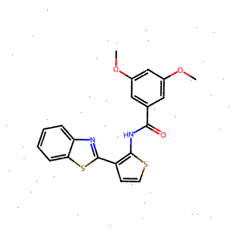 COc1cc(OC)cc(C(=O)Nc2sccc2-c2nc3ccccc3s2)c1